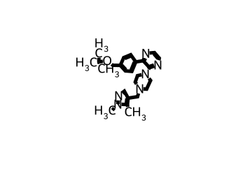 Cc1c(CN2CCN(c3nccnc3-c3ccc(COC(C)(C)C)cc3)CC2)cnn1C